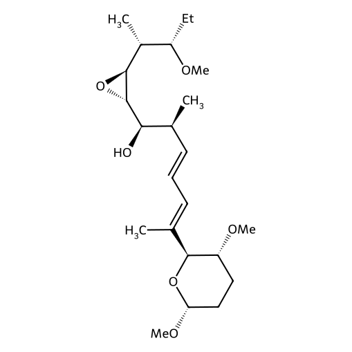 CC[C@H](OC)[C@@H](C)[C@@H]1O[C@H]1[C@H](O)[C@@H](C)/C=C/C=C(\C)[C@@H]1O[C@@H](OC)CC[C@H]1OC